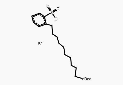 CCCCCCCCCCCCCCCCCCCCc1ccccc1S(=O)(=O)[O-].[K+]